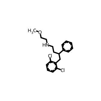 COCCNCCC(Cc1c(Cl)cccc1Cl)c1ccccc1